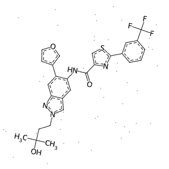 CC(C)(O)CCn1cc2cc(NC(=O)c3csc(-c4cccc(C(F)(F)F)c4)n3)c(-c3ccoc3)cc2n1